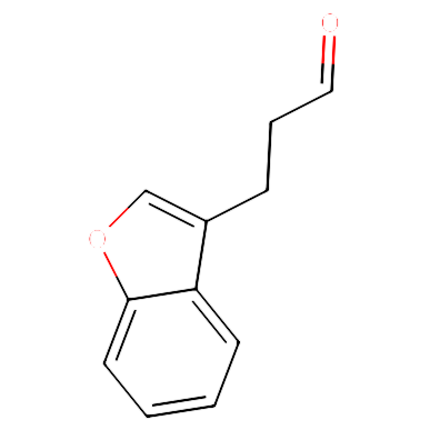 O=[C]CCc1coc2ccccc12